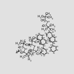 CC(C)(C)C([O-])CC([O-])C(C)(C)C.CC(C)(C)C([O-])CC([O-])C(C)(C)C.CC(C)(C)C([O-])CC([O-])C(C)(C)C.[Ir+3].[Ir+3].c1ccc(-c2ccc3ccccc3n2)cc1.c1ccc(-c2ccc3ccccc3n2)cc1